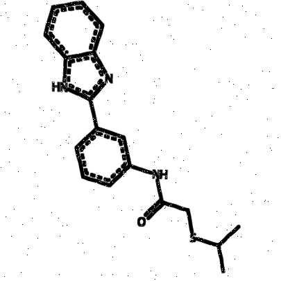 CC(C)SCC(=O)Nc1cccc(-c2nc3ccccc3[nH]2)c1